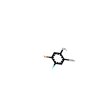 COc1cc(F)c(Br)cc1C